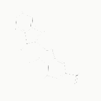 C=C(C)c1cc(CC)c2c(c1)nc(C1=CC3=CCCC=C3C1CCC)n2C